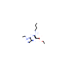 CCCCNc1nc2c(cnn2CC)nc1C(=O)OCC